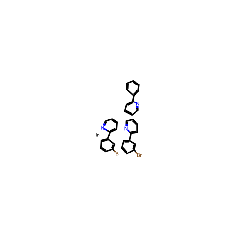 Brc1cccc(-c2ccccn2)c1.Brc1cccc(-c2ccccn2)c1.[Ir].c1ccc(-c2ccccn2)cc1